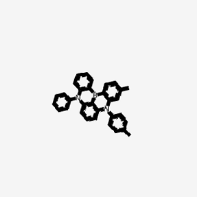 Cc1ccc(N2c3cc(C)ccc3B3c4ccccc4N(c4ccccc4)c4cccc2c43)cc1